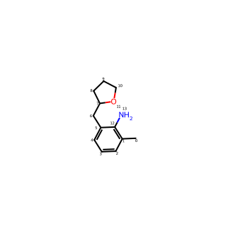 Cc1cccc(CC2CCCO2)c1N